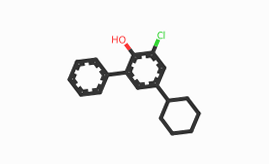 Oc1c(Cl)cc(C2CCCCC2)cc1-c1ccccc1